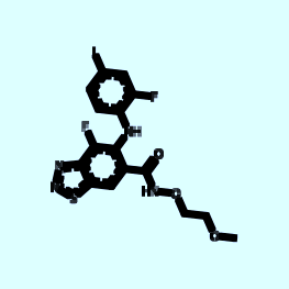 COCCONC(=O)c1cc2snnc2c(F)c1Nc1ccc(I)cc1F